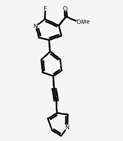 COC(=O)c1cc(-c2ccc(C#Cc3cccnc3)cc2)cnc1F